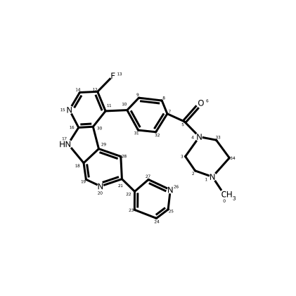 CN1CCN(C(=O)c2ccc(-c3c(F)cnc4[nH]c5cnc(-c6cccnc6)cc5c34)cc2)CC1